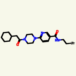 CC(C)CCNC(=O)c1ccc(N2CCN(C(=O)CC3CCCCC3)CC2)nc1